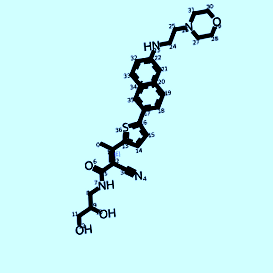 C/C(=C(/C#N)C(=O)NCC(O)CO)c1ccc(-c2ccc3cc(NCCN4CCOCC4)ccc3c2)s1